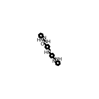 O=C(Nc1nc2ccccc2[nH]1)c1ccc(CNc2ccc(-c3nc4ccccc4[nH]3)cc2)cc1